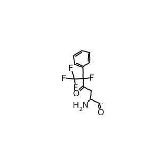 N[C@H]([C]=O)CC(=O)C(F)(c1ccccc1)C(F)(F)F